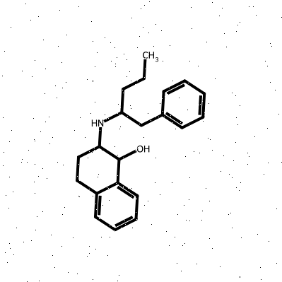 CCCC(Cc1ccccc1)NC1CCc2ccccc2C1O